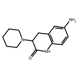 Nc1ccc2c(c1)CC(N1CCCCC1)C(=O)N2